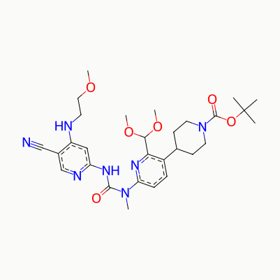 COCCNc1cc(NC(=O)N(C)c2ccc(C3CCN(C(=O)OC(C)(C)C)CC3)c(C(OC)OC)n2)ncc1C#N